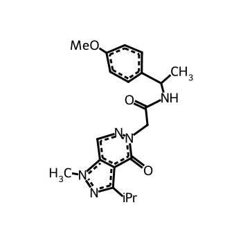 COc1ccc(C(C)NC(=O)Cn2ncc3c(c(C(C)C)nn3C)c2=O)cc1